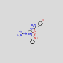 N=C(N)NCCC[C@@H](NC(=O)[C@@H](N)Cc1ccc(O)cc1)C(=O)N[C@@H](Cc1ccccc1)C(=O)O